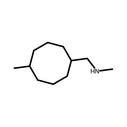 CNCC1CCCC(C)CCC1